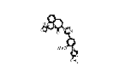 COC1=CC(c2cn(C3CCc4ccccc4N(CC4(C)COC4)C3=O)nn2)CC=C1n1cnc(C)c1